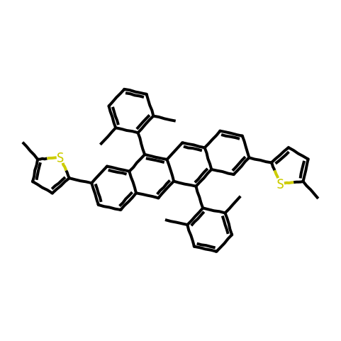 Cc1ccc(-c2ccc3cc4c(-c5c(C)cccc5C)c5cc(-c6ccc(C)s6)ccc5cc4c(-c4c(C)cccc4C)c3c2)s1